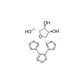 OC[C@H]1OC[C@H](O)[C@@H]1O.c1csc(-c2ccsc2-c2cccs2)c1